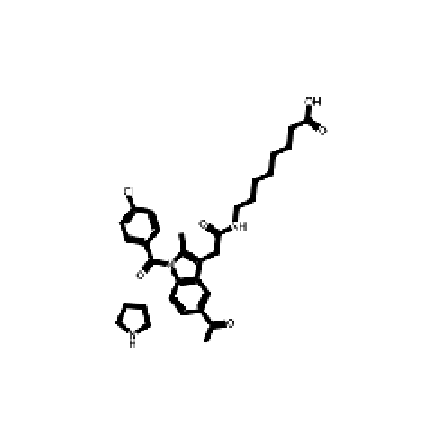 C1CCNC1.CC(=O)c1ccc2c(c1)c(CC(=O)NCCCCCCCC(=O)O)c(C)n2C(=O)c1ccc(Cl)cc1